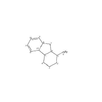 CCCC1CCCC2C1[C]C1C=CC=CC12